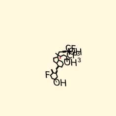 C=C1/C(=C\C=C2/CCC[C@@]3(C)C2CCC3C(C)(CC#CC(O)(C(F)(F)F)C(F)(F)F)CCCC(C)(C)O)C[C@@H](O)C[C@@H]1F